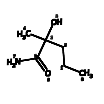 C[CH]CC(C)(O)C(N)=O